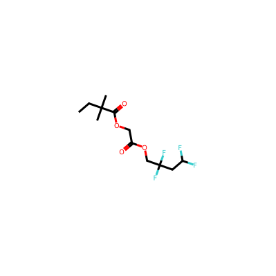 CCC(C)(C)C(=O)OCC(=O)OCC(F)(F)CC(F)F